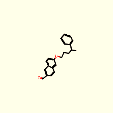 CC(CCCOc1ccc2cc(C=O)ccc2c1)c1ccccc1